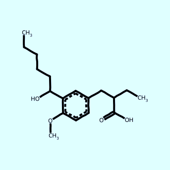 CCCCCC(O)c1cc(CC(CC)C(=O)O)ccc1OC